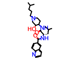 CC(C)CCCN1CCC(NC(=O)[C@H](CC(C)C)NC(=O)c2ccc3ncccc3c2)C(O)C1